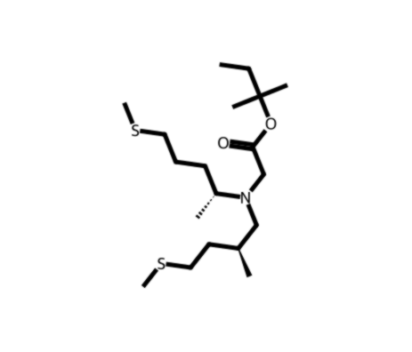 CCC(C)(C)OC(=O)CN(C[C@@H](C)CCSC)[C@H](C)CCCSC